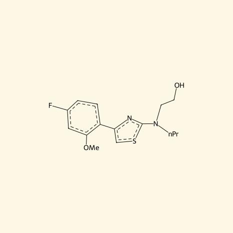 CCCN(CCO)c1nc(-c2ccc(F)cc2OC)cs1